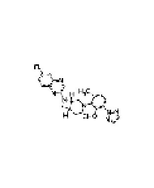 Cc1ccc(-n2nccn2)c(C=O)c1N1CC[C@@H]2CN(c3cnc4cc(Cl)ccc4n3)[C@@H]2C1